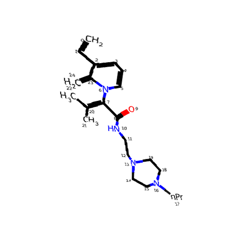 C=CC1=CC=CN(C(C(=O)NCCN2CCN(CCC)CC2)=C(C)C)C1=C